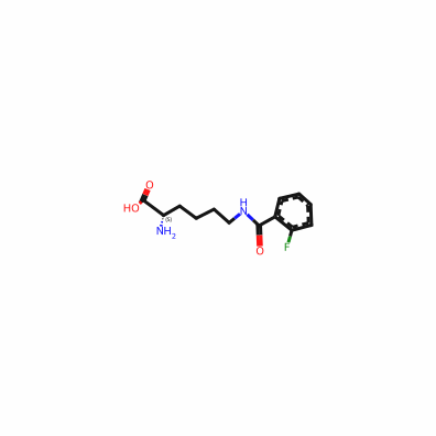 N[C@@H](CCCCNC(=O)c1ccccc1F)C(=O)O